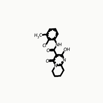 Cc1cccc(NC(=O)c2c(O)nc3n(c2=O)CCCC3)c1Cl